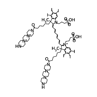 CC1(CCCCCC(=O)N2CC[N+]3(CC2)CC[N+]2(CCNCC2)CC3)C(/C=C/C=C/C=C/C=C2\N(CCCS(=O)(=O)O)c3cc(I)c(I)c(I)c3C2(C)CCCCCC(=O)N2CC[N+]3(CC2)CC[N+]2(CCNCC2)CC3)=[N+](CCCS(=O)(=O)O)c2cc(I)c(I)c(I)c21